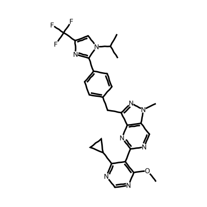 COc1ncnc(C2CC2)c1-c1ncc2c(n1)c(Cc1ccc(-c3nc(C(F)(F)F)cn3C(C)C)cc1)nn2C